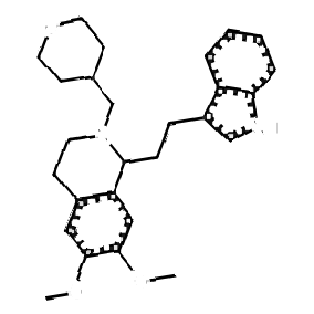 COc1cc2c(cc1OC)C(CCc1c[nH]c3ccccc13)N(CC1CCOCC1)CC2